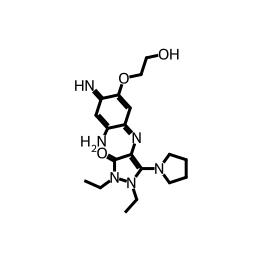 CCn1c(N2CCCC2)c(/N=C2/C=C(OCCO)C(=N)C=C2N)c(=O)n1CC